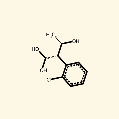 C[C@H](O)[C@H](c1ccccc1Cl)C(O)O